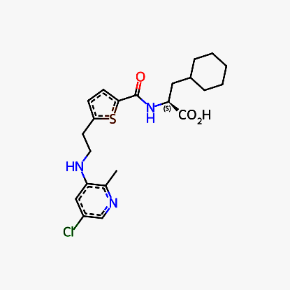 Cc1ncc(Cl)cc1NCCc1ccc(C(=O)N[C@@H](CC2CCCCC2)C(=O)O)s1